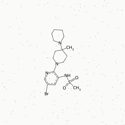 CC1(N2CCCCC2)CCN(c2ncc(Br)cc2NS(C)(=O)=O)CC1